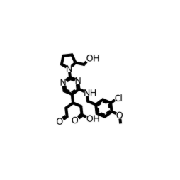 COc1ccc(CNc2nc(N3CCCC3CO)ncc2C(CC=O)CC(=O)O)cc1Cl